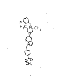 COC(=O)c1ccc(Cn2ccc3cc(N4C[C@@H](C)N(Cc5cccc(F)c5)[C@@H](C)C4)cnc32)cc1